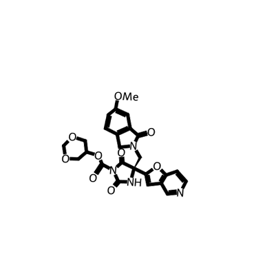 COc1ccc2c(c1)C(=O)N(C[C@@]1(c3cc4cnccc4o3)NC(=O)N(C(=O)OC3COCOC3)C1=O)C2